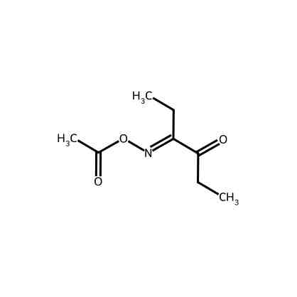 CCC(=O)C(CC)=NOC(C)=O